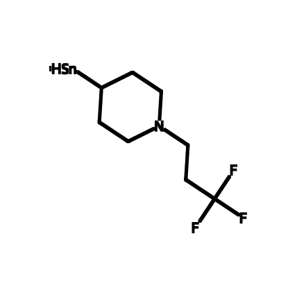 FC(F)(F)CCN1CC[CH]([SnH])CC1